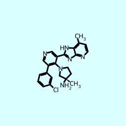 Cc1ccnc2nc(-c3cncc(-c4cccc(Cl)c4)c3N3CC[C@](C)(N)C3)[nH]c12